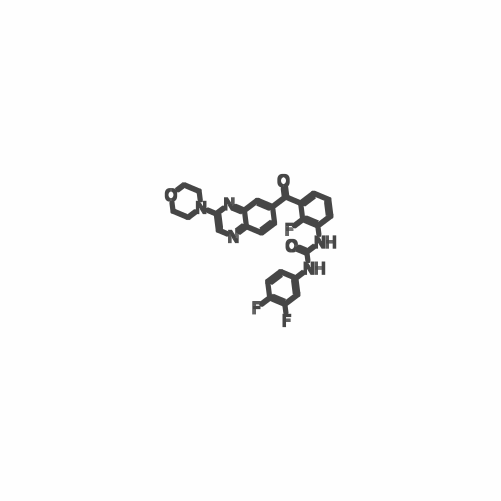 O=C(Nc1ccc(F)c(F)c1)Nc1cccc(C(=O)c2ccc3ncc(N4CCOCC4)nc3c2)c1F